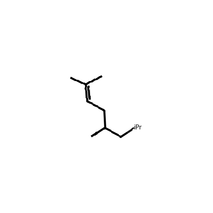 CC(C)=CCC(C)CC(C)C